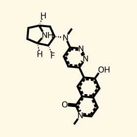 CN(c1ccc(-c2cc3c(=O)n(C)ccc3cc2O)nn1)[C@H]1C[C@@H]2CC[C@@H](N2)[C@H]1F